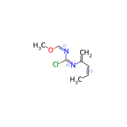 C=C(/C=C\C)/N=C(Cl)\N=C/OC